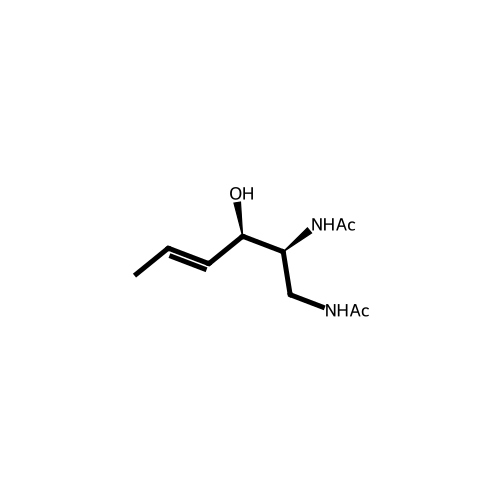 C/C=C/[C@@H](O)[C@H](CNC(C)=O)NC(C)=O